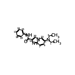 CCN(CC)c1ccc2nc(C(=O)Nc3ccccc3)cn2c1